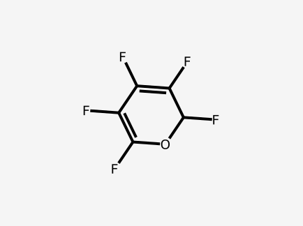 FC1=C(F)C(F)=C(F)C(F)O1